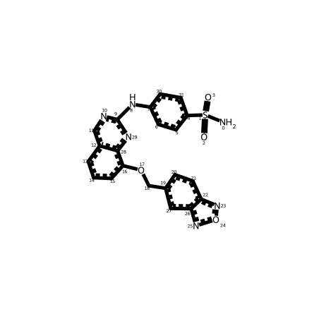 NS(=O)(=O)c1ccc(Nc2ncc3cccc(OCc4ccc5nonc5c4)c3n2)cc1